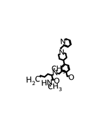 C=CCCC(C(=O)NC)N(C)Cc1cc(C2CCN(Cc3ccccn3)CC2)ccc1C=O